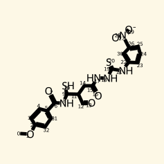 COc1ccc(C(=O)NC(S)C(C=O)CC(=O)NNC(=S)Nc2cccc([N+](=O)[O-])c2)cc1